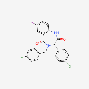 O=C1Nc2ccc(I)cc2C(=O)N(Cc2ccc(Cl)cc2)C1c1ccc(Cl)cc1